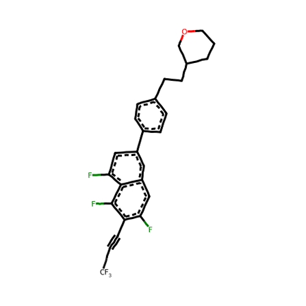 Fc1cc2cc(-c3ccc(CCC4CCCOC4)cc3)cc(F)c2c(F)c1C#CC(F)(F)F